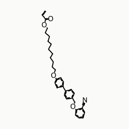 C=CC(=O)OCCCCCCCCCCCOc1ccc(-c2ccc(COc3ccccc3C#N)cc2)cc1